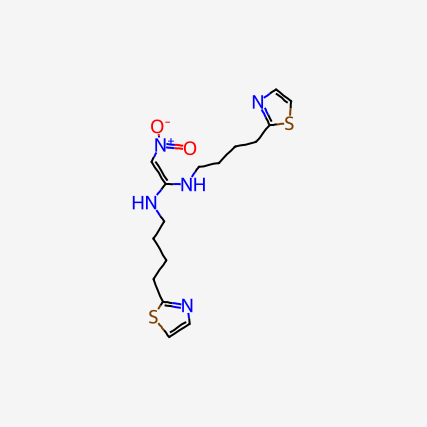 O=[N+]([O-])C=C(NCCCCc1nccs1)NCCCCc1nccs1